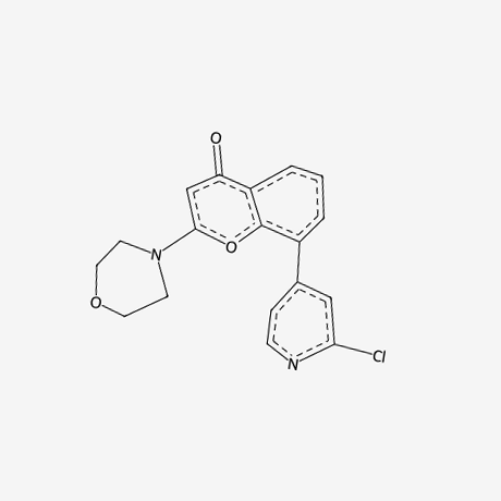 O=c1cc(N2CCOCC2)oc2c(-c3ccnc(Cl)c3)cccc12